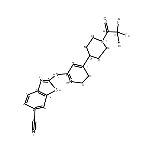 N#Cc1ccc2nc(NC3=NCCC(C4CCN(C(=O)C(F)(F)F)CC4)=C3)sc2c1